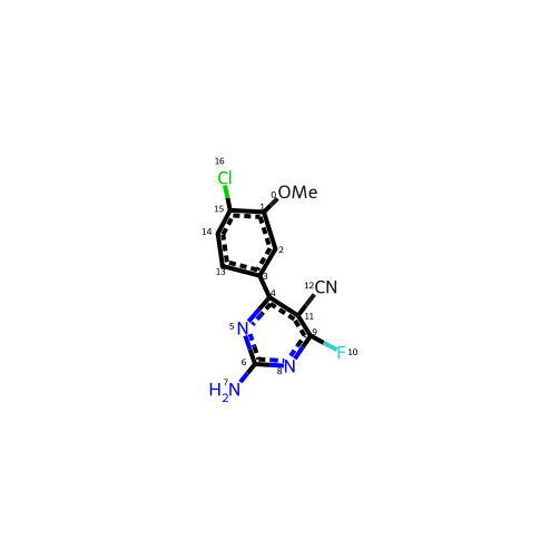 COc1cc(-c2nc(N)nc(F)c2C#N)ccc1Cl